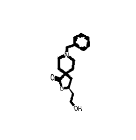 O=C1O[C@H](CCO)CC12CCN(Cc1ccccc1)CC2